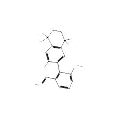 COc1cccc(/C=N/O)c1-c1cc2c(cc1C)C(C)(C)CCC2(C)C